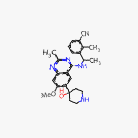 COc1cc2nc(C)nc(NC(C)c3cccc(C#N)c3C)c2cc1C1(O)CCNCC1